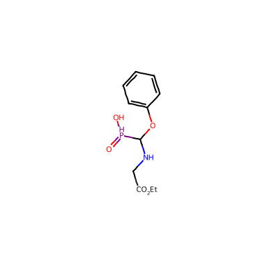 CCOC(=O)CNC(Oc1ccccc1)[PH](=O)O